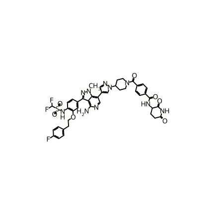 Cn1nc(-c2ccc(NS(=O)(=O)C(F)F)c(OCCc3ccc(F)cc3)c2)c2c(N)ncc(-c3cnn(C4CCN(C(=O)c5ccc(C(=O)NC6CCC(=O)NC6=O)cc5)CC4)c3)c21